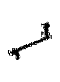 CC(C)(C)OC(=O)N1CCN(c2nc(NCCOCCOCCOCCOCCOCCOCCOCCOCCOCCOCCOc3cc(Cl)cc(NC(=O)NCc4ccc5c(c4)CN(C4CCC(=O)NC4=O)C5=O)c3)nc3c(F)c(Br)c(Cl)cc23)CC1